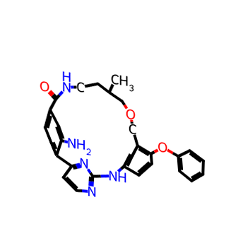 CC1CCNC(=O)c2ccc(c(N)c2)-c2ccnc(n2)Nc2ccc(Oc3ccccc3)c(c2)COC1